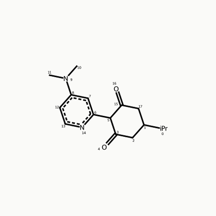 CC(C)C1CC(=O)C(c2cc(N(C)C)ccn2)C(=O)C1